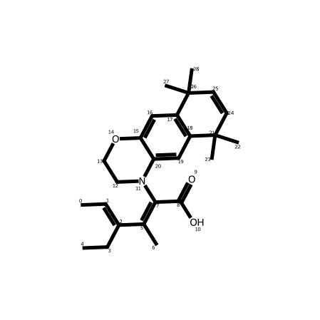 CC=C(CC)C(C)=C(C(=O)O)N1CCOc2cc3c(cc21)C(C)(C)C=CC3(C)C